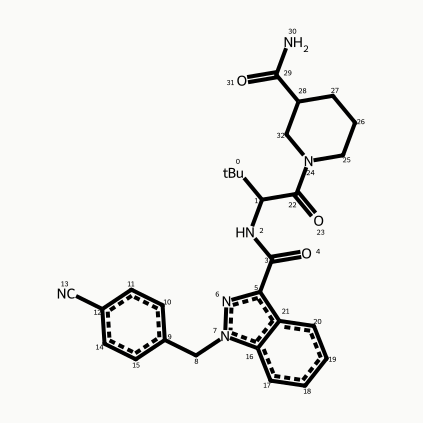 CC(C)(C)C(NC(=O)c1nn(Cc2ccc(C#N)cc2)c2ccccc12)C(=O)N1CCCC(C(N)=O)C1